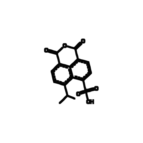 CC(C)c1ccc2c3c(ccc(S(=O)(=O)O)c13)C(=O)OC2=O